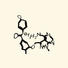 Cc1ccc(C(=O)Nc2ccc(Cl)cc2)cc1OCc1nn(C)c2ncnc(N)c12